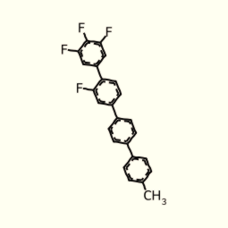 Cc1ccc(-c2ccc(-c3ccc(-c4cc(F)c(F)c(F)c4)c(F)c3)cc2)cc1